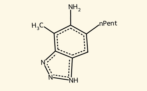 CCCCCc1cc2[nH]nnc2c(C)c1N